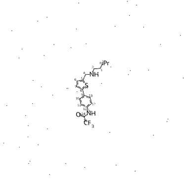 CC(C)CCNCc1ccc(-c2ccc(NC(=O)C(F)(F)F)cc2)s1